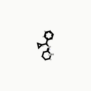 c1ccc(C(/N=C2\CCCCN2)C2CC2)cc1